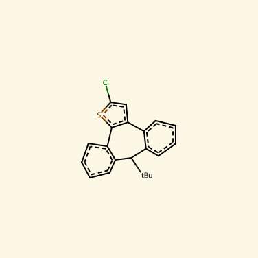 CC(C)(C)C1c2ccccc2-c2cc(Cl)sc2-c2ccccc21